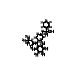 [2H]c1c([2H])c([2H])c(N(C(=O)CC([2H])([2H])[2H])C2CCN(CC([2H])(O)c3ccccc3)CC2)c([2H])c1[2H]